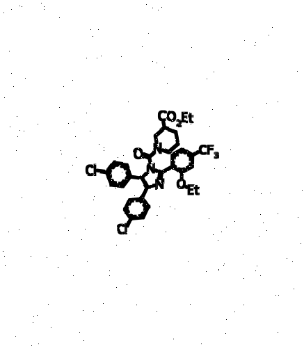 CCOC(=O)C1CCCN(C(=O)N2C(c3ccc(C(F)(F)F)cc3OCC)=NC(c3ccc(Cl)cc3)C2c2ccc(Cl)cc2)C1